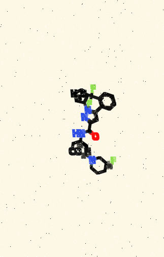 CC(F)(F)c1ccccc1-c1cc(C(=O)N[C@@H](CCN2CCC[C@@H](F)C2)CC(=O)O)nn1C1CCCC1